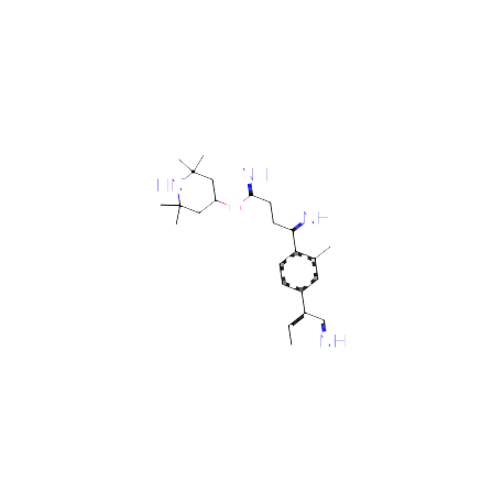 C/C=C(\C=N)c1ccc(C(=N)CCC(=N)OC2CC(C)(C)NC(C)(C)C2)c(C)c1